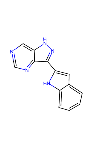 c1ccc2[nH]c(-c3n[nH]c4cncnc34)cc2c1